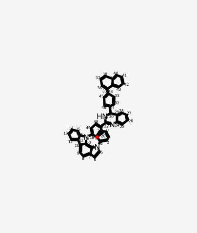 c1ccc(-n2ccc3ccc4c5ccccc5n(-c5ccc(C6=Nc7ccccc7C(c7ccc(-c8cccc9ccccc89)cc7)N6)cc5)c4c32)cc1